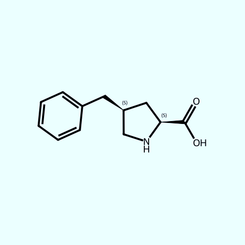 O=C(O)[C@@H]1C[C@H](Cc2ccccc2)CN1